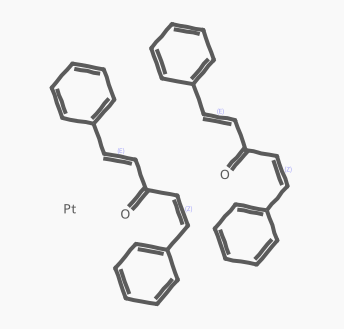 O=C(/C=C\c1ccccc1)/C=C/c1ccccc1.O=C(/C=C\c1ccccc1)/C=C/c1ccccc1.[Pt]